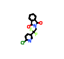 O=C1c2ccccc2C(=O)N1CC(F)(F)c1ccc(Cl)nc1